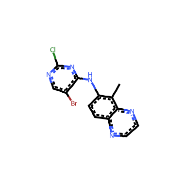 Cc1c(Nc2nc(Cl)ncc2Br)ccc2nccnc12